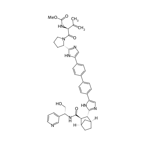 C=C(C)[C@H](NC(=O)OC)C(=O)N1CCC[C@H]1c1ncc(-c2ccc(-c3ccc(-c4cnc([C@@H]5[C@H]6CC[C@H](C6)[C@H]5C(=O)N[C@@H](CO)c5cccnc5)[nH]4)cc3)cc2)[nH]1